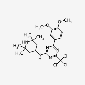 COc1ccc(-c2nc(NC3CC(C)(C)NC(C)(C)C3)nc(C(Cl)(Cl)Cl)n2)cc1OC